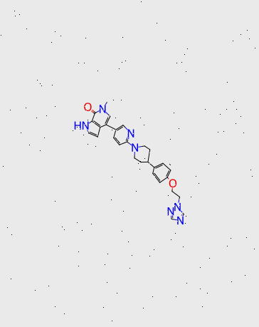 Cn1cc(-c2ccc(N3CCC(c4ccc(OCCn5cncn5)cc4)CC3)nc2)c2cc[nH]c2c1=O